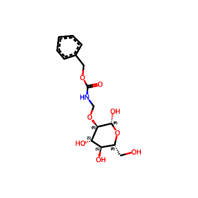 O=C(NCO[C@@H]1[C@@H](O)[C@H](O)[C@@H](CO)O[C@H]1O)OCc1ccccc1